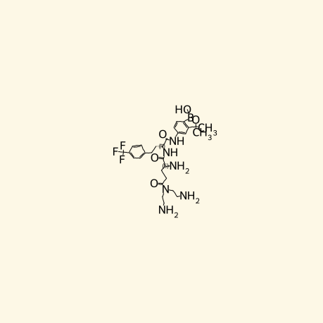 CC1(C)OB(O)c2ccc(NC(=O)[C@@H](CCc3ccc(C(F)(F)F)cc3)NC(=O)[C@@H](N)CCC(=O)N(CCN)CCN)cc21